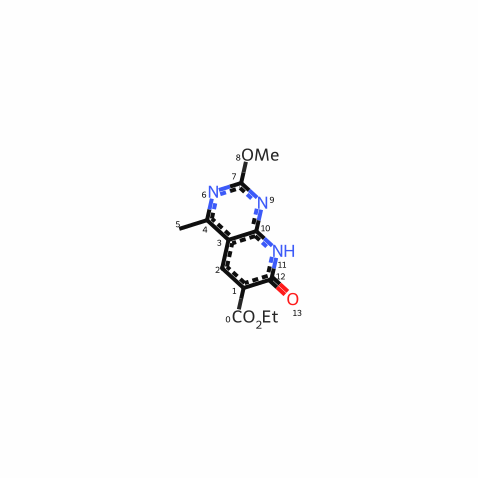 CCOC(=O)c1cc2c(C)nc(OC)nc2[nH]c1=O